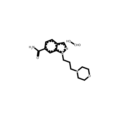 NC(=O)c1ccc2cnn(CCCN3CCOCC3)c2c1.O=CO